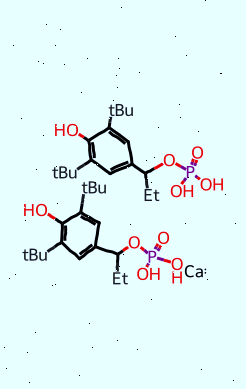 CCC(OP(=O)(O)O)c1cc(C(C)(C)C)c(O)c(C(C)(C)C)c1.CCC(OP(=O)(O)O)c1cc(C(C)(C)C)c(O)c(C(C)(C)C)c1.[Ca]